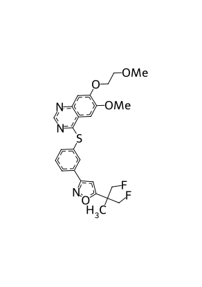 COCCOc1cc2ncnc(Sc3cccc(-c4cc(C(C)(CF)CF)on4)c3)c2cc1OC